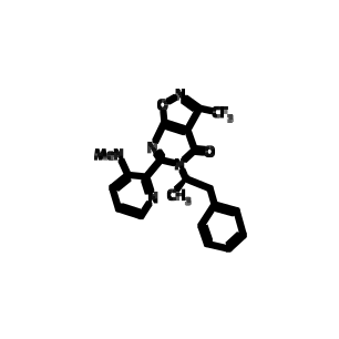 CNc1cccnc1-c1nc2onc(C(F)(F)F)c2c(=O)n1[C@H](C)Cc1ccccc1